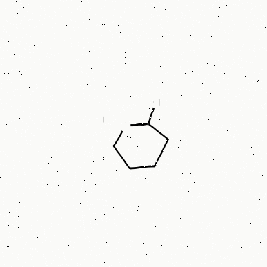 ClC1CCCCO1.[H+]